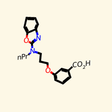 CCCN(CCCOc1cccc(C(=O)O)c1)c1nc2ccccc2o1